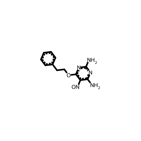 Nc1nc(N)c(N=O)c(OCCc2ccccc2)n1